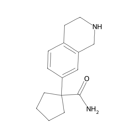 NC(=O)C1(c2ccc3c(c2)CNCC3)CCCC1